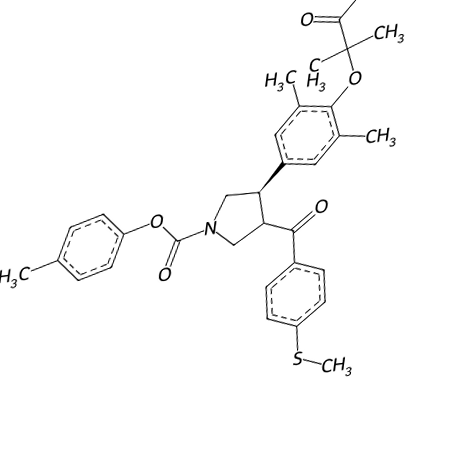 CSc1ccc(C(=O)C2CN(C(=O)Oc3ccc(C)cc3)C[C@H]2c2cc(C)c(OC(C)(C)C(=O)O)c(C)c2)cc1